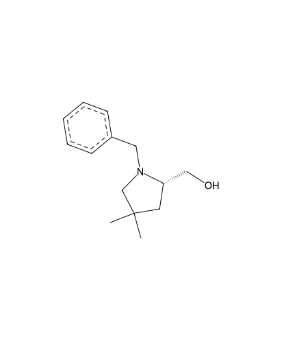 CC1(C)C[C@@H](CO)N(Cc2ccccc2)C1